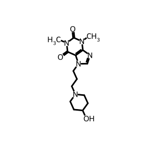 Cn1c(=O)c2c(ncn2CCCN2CCC(O)CC2)n(C)c1=O